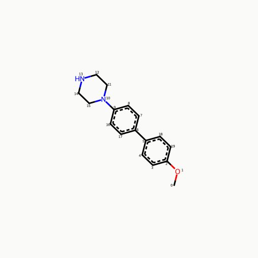 COc1ccc(-c2ccc(N3CCNCC3)cc2)cc1